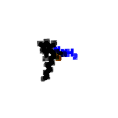 CCCCCCCc1sc(N)nc1-c1c(C)cc(C)cc1C